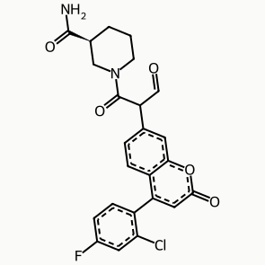 NC(=O)[C@H]1CCCN(C(=O)C(C=O)c2ccc3c(-c4ccc(F)cc4Cl)cc(=O)oc3c2)C1